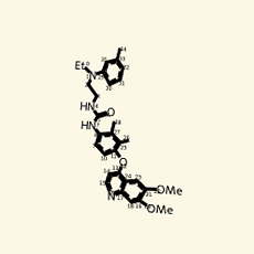 CCN(CCNC(=O)Nc1ccc(Oc2ccnc3cc(OC)c(OC)cc23)c(C)c1C)c1cccc(C)c1